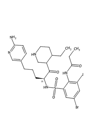 CCC(=O)Nc1c(I)cc(Br)cc1S(=O)(=O)N[C@@H](CCCc1ccc(N)nc1)C(=O)C1CNCCC1CC